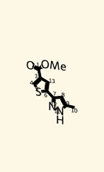 COC(=O)c1csc(-c2cc(C)[nH]n2)c1